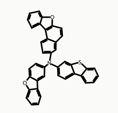 c1ccc2c(c1)oc1ccc(N(c3ccc4c(ccc5oc6ccccc6c54)c3)c3ccc4c(c3)sc3ccccc34)cc12